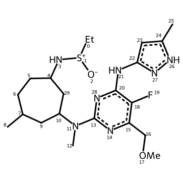 CC[S+]([O-])NC1CCC(C)CC(N(C)c2nc(COC)c(F)c(Nc3cc(C)[nH]n3)n2)C1